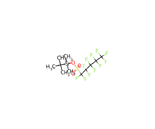 CC(C)(C)[Si](C)(C)OS(=O)(=O)C(F)(F)C(F)(F)C(F)(F)C(F)(F)C(F)(F)F